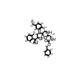 C[C@H](NC(=O)OCc1ccccc1)C(=O)N[C@@H](Cc1ccc(CF)cc1)C(=O)N[C@@H](Cc1ccccc1)C(=O)[C@@]1(C)CO1